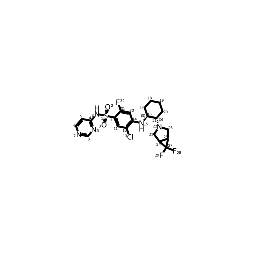 O=S(=O)(Nc1ccncn1)c1cc(Cl)c(N[C@H]2CCCC[C@@H]2N2CC3C(C2)C3(F)F)cc1F